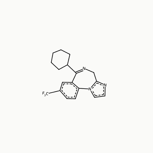 FC(F)(F)c1ccc2c(c1)C(C1CCCCC1)=NCc1nccn1-2